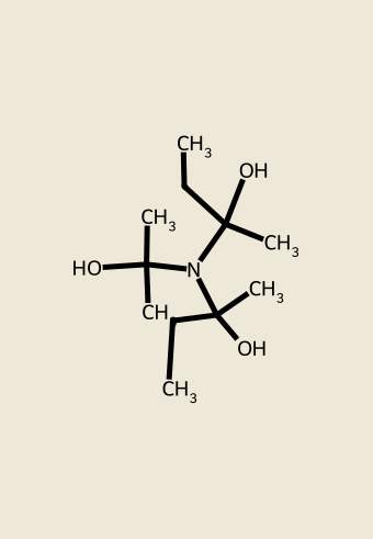 CCC(C)(O)N(C(C)(C)O)C(C)(O)CC